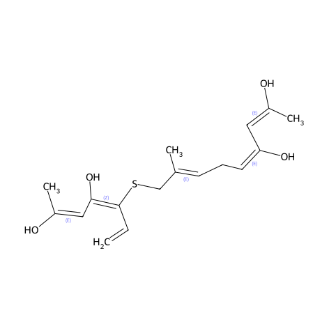 C=C/C(SC/C(C)=C/C/C=C(O)\C=C(/C)O)=C(O)\C=C(/C)O